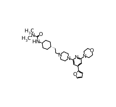 CN(C)C(=O)N[C@H]1CC[C@H](CCN2CCN(c3cc(-c4ccco4)cc(N4CCOCC4)n3)CC2)CC1